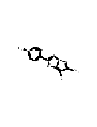 Cc1ccc(-c2nn3nc(C)c(Cl)c3[nH]2)cc1